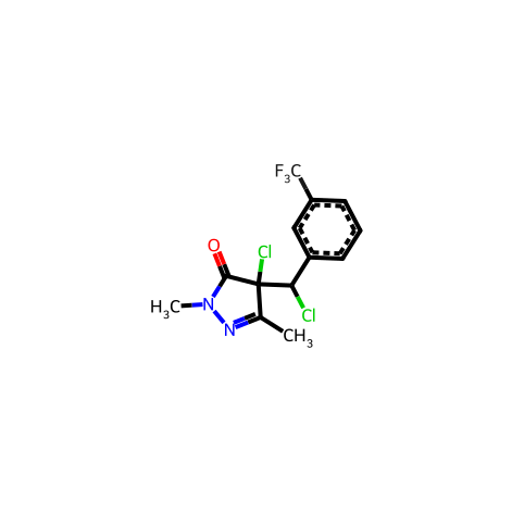 CC1=NN(C)C(=O)C1(Cl)C(Cl)c1cccc(C(F)(F)F)c1